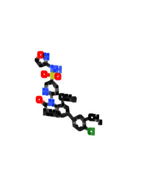 CNC(=O)N(c1ccc(S(=O)(=O)Nc2ccon2)cn1)c1ccc(-c2ccc(Cl)c(C)c2)cc1OC